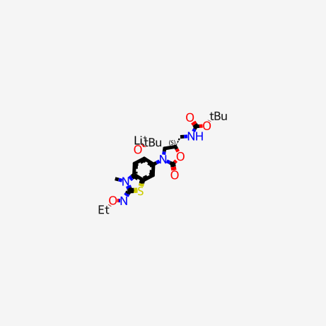 CC(C)(C)[O-].CCON=c1sc2cc(N3C[C@H](CNC(=O)OC(C)(C)C)OC3=O)ccc2n1C.[Li+]